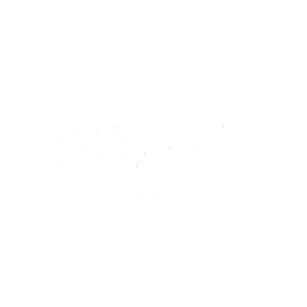 Cc1cc(C(F)=Cc2ccc(OC(F)(F)F)cc2)nn1Cc1cccc(C2(CO)CC2)c1